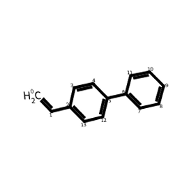 C=Cc1c[c]c(-c2ccccc2)cc1